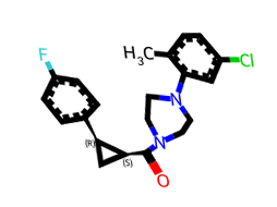 Cc1ccc(Cl)cc1N1CCN(C(=O)[C@H]2C[C@H]2c2ccc(F)cc2)CC1